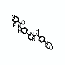 O=C(Nc1ccc(-c2ccnc(Nc3ccc(N4CCOCC4)cc3)n2)cc1)c1ccncc1F